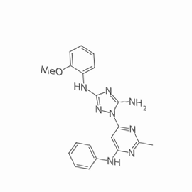 COc1ccccc1Nc1nc(N)n(-c2cc(Nc3ccccc3)nc(C)n2)n1